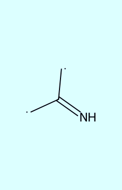 [CH2]C([CH2])=N